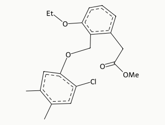 CCOc1cccc(CC(=O)OC)c1COc1cc(C)c(C)cc1Cl